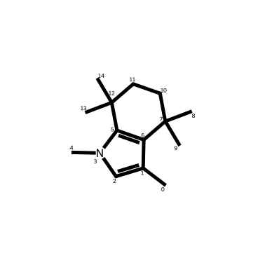 Cc1cn(C)c2c1C(C)(C)CCC2(C)C